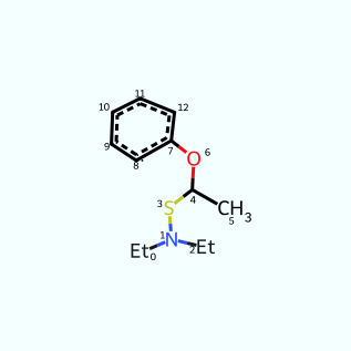 CCN(CC)SC(C)Oc1[c]cccc1